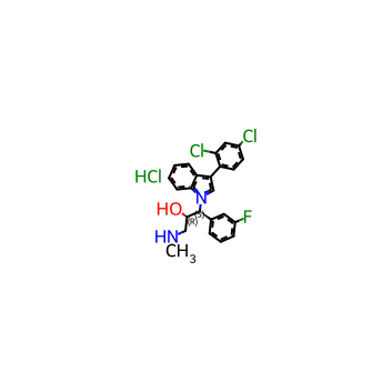 CNC[C@@H](O)[C@H](c1cccc(F)c1)n1cc(-c2ccc(Cl)cc2Cl)c2ccccc21.Cl